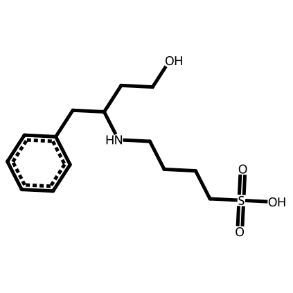 O=S(=O)(O)CCCCNC(CCO)Cc1ccccc1